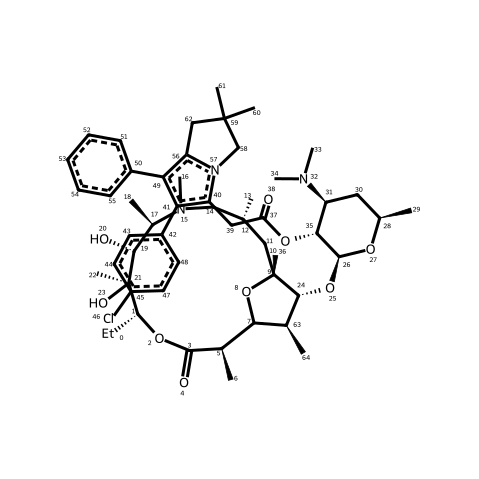 CC[C@H]1OC(=O)[C@H](C)C2O[C@](C)(C[C@@H](C)CN(C)[C@H](C)[C@@H](O)[C@]1(C)O)[C@H](O[C@@H]1O[C@H](C)C[C@H](N(C)C)[C@H]1OC(=O)Cc1c(-c3ccc(Cl)cc3)c(-c3ccccc3)c3n1CC(C)(C)C3)[C@H]2C